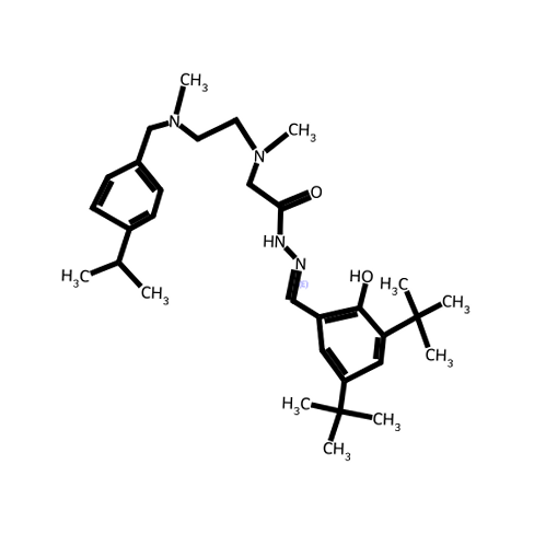 CC(C)c1ccc(CN(C)CCN(C)CC(=O)N/N=C/c2cc(C(C)(C)C)cc(C(C)(C)C)c2O)cc1